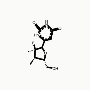 C[C@@H]1[C@@H](CO)OC(c2cc(=O)[nH]c(=O)[nH]2)[C@]1(C)F